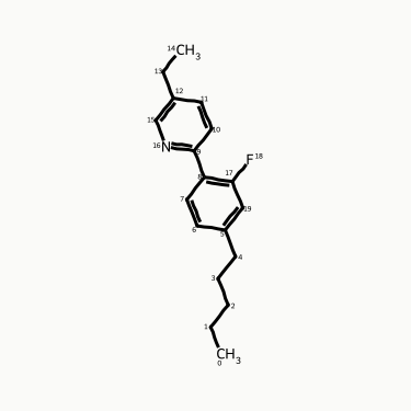 CCCCCc1ccc(-c2ccc(CC)cn2)c(F)c1